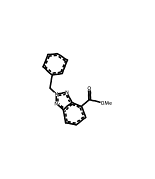 COC(=O)c1cccc2nn(Cc3ccccc3)nc12